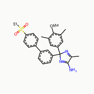 CCS(=O)(=O)c1ccc(-c2cccc(C3(c4cc(C)c(OC)c(C)c4)N=C(C)C(N)=N3)c2)cc1